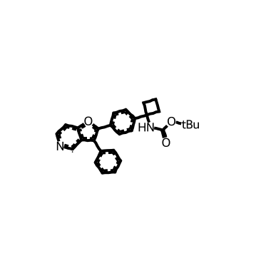 CC(C)(C)OC(=O)NC1(c2ccc(-c3oc4ccn[c]c4c3-c3ccccc3)cc2)CCC1